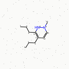 CCCC1=C(CCC)NN(C)C=C1